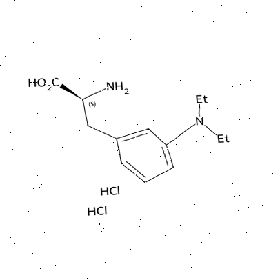 CCN(CC)c1cccc(C[C@H](N)C(=O)O)c1.Cl.Cl